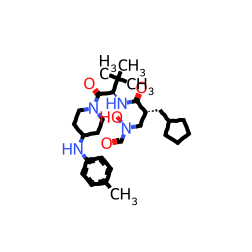 Cc1ccc(NC2CCN(C(=O)[C@@H](NC(=O)[C@H](CC3CCCC3)CN(O)C=O)C(C)(C)C)CC2)cc1